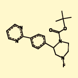 CC(C)(C)OC(=O)N1CCN(F)CC1c1ccc(-c2ncccn2)cc1